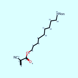 C=C(C#N)C(=O)OCCCCCCCCCCCCCCCCCC